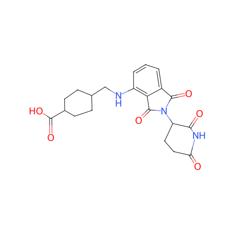 O=C1CCC(N2C(=O)c3cccc(NCC4CCC(C(=O)O)CC4)c3C2=O)C(=O)N1